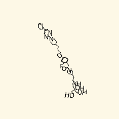 O=C(Cc1ccc(OCCCC2CCN(c3ncc(Cl)cn3)CC2)cc1F)N1CC(CCNCC(O)(CO)CO)C1